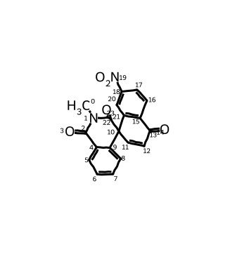 CN1C(=O)c2ccccc2C2(C=CC(=O)c3ccc([N+](=O)[O-])cc32)C1=O